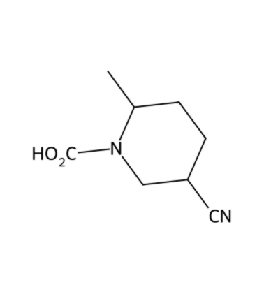 CC1CCC(C#N)CN1C(=O)O